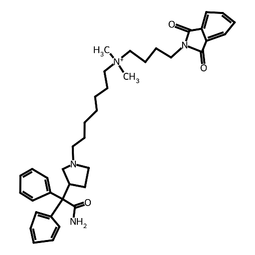 C[N+](C)(CCCCCCCN1CCC(C(C(N)=O)(c2ccccc2)c2ccccc2)C1)CCCCN1C(=O)c2ccccc2C1=O